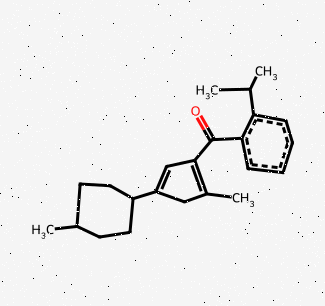 CC1=C(C(=O)c2ccccc2C(C)C)C=C(C2CCC(C)CC2)C1